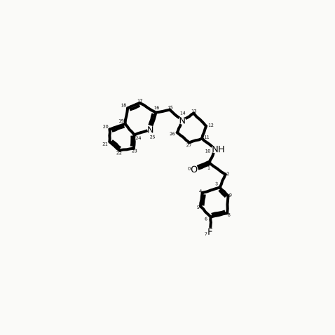 O=C(Cc1ccc(F)cc1)NC1CCN(Cc2ccc3ccccc3n2)CC1